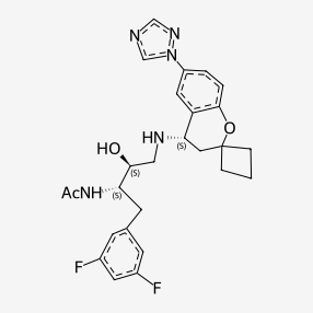 CC(=O)N[C@@H](Cc1cc(F)cc(F)c1)[C@@H](O)CN[C@H]1CC2(CCC2)Oc2ccc(-n3cncn3)cc21